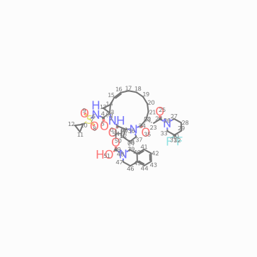 O=C1N[C@]2(C(=O)NS(=O)(=O)C3CC3)CC2C=CCCCCC[C@H](CC(=O)N2CCCC(F)(F)C2)C(=O)N2C[C@H](C3c4ccccc4CCN3C(=O)O)C[C@@H]12